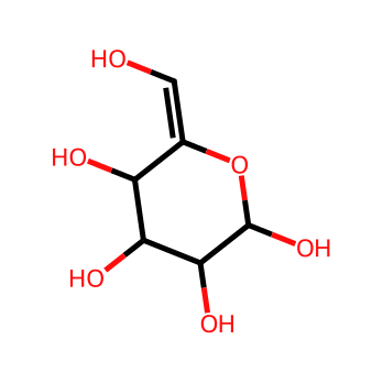 O/C=C1/OC(O)C(O)C(O)C1O